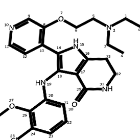 CCN(CC)CCOc1cnccc1-c1[nH]c2c(c1Nc1cccc(Cl)c1OC)C(=O)NCC2